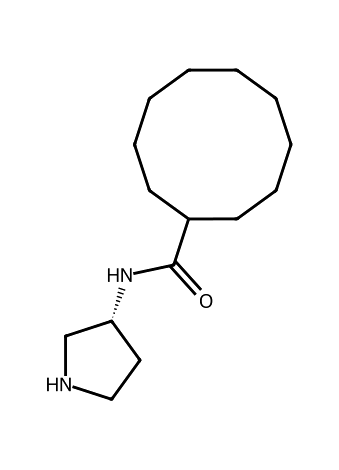 O=C(N[C@@H]1CCNC1)C1CCCCCCCCC1